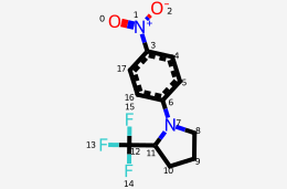 O=[N+]([O-])c1ccc(N2CCCC2C(F)(F)F)cc1